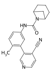 Cc1ccc(NC(=O)N2C3CCCC2C3)cc1-c1cnccc1C#N